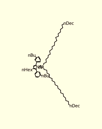 CCCCCCC1=C(c2cccc(CCCC)c2)[N+](=[N-])C(c2cccc(CCCC)c2)=C1.CCCCCCCCCCCCCCCCCCCCCCCCCCCC[CH2][Ni][CH2]CCCCCCCCCCCCCCCCCCCCCCCCCCCC